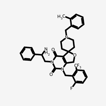 Cc1ccccc1CN1CCC2(CC1)OCc1c2c(=O)n(CC(N)c2ccccc2)c(=O)n1Cc1c(F)cccc1C(F)(F)F